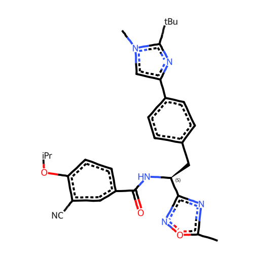 Cc1nc([C@H](Cc2ccc(-c3cn(C)c(C(C)(C)C)n3)cc2)NC(=O)c2ccc(OC(C)C)c(C#N)c2)no1